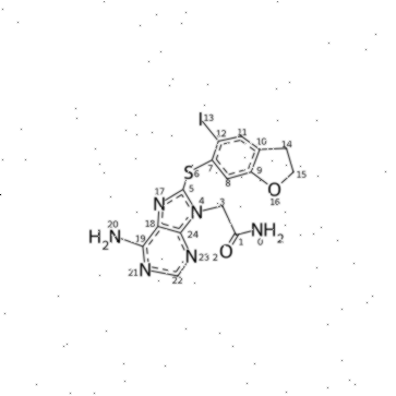 NC(=O)Cn1c(Sc2cc3c(cc2I)CCO3)nc2c(N)ncnc21